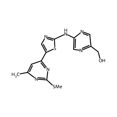 CSc1nc(C)cc(-c2cnc(Nc3cnc(CO)cn3)s2)n1